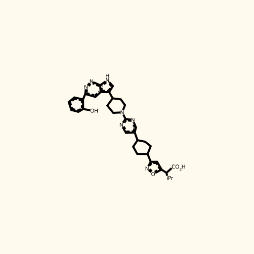 CC(C)C(C(=O)O)c1cc(C2CCC(c3cnc(N4CCC(c5c[nH]c6nnc(-c7ccccc7O)cc56)CC4)nc3)CC2)no1